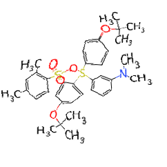 Cc1ccc(S(=O)(=O)OS(c2ccc(OC(C)(C)C)cc2)(c2ccc(OC(C)(C)C)cc2)c2cccc(N(C)C)c2)c(C)c1